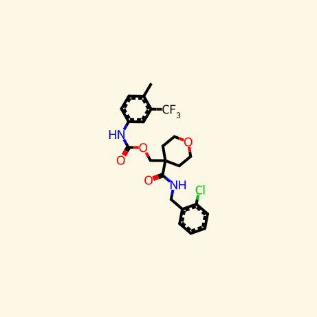 Cc1ccc(NC(=O)OCC2(C(=O)NCc3ccccc3Cl)CCOCC2)cc1C(F)(F)F